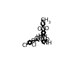 CN1CCC(N2C(=O)c3cc4nc(-c5c(NCC(O)COc6ccc(Cl)cc6Cl)cc[nH]c5=O)[nH]c4cc3C2=O)CC1